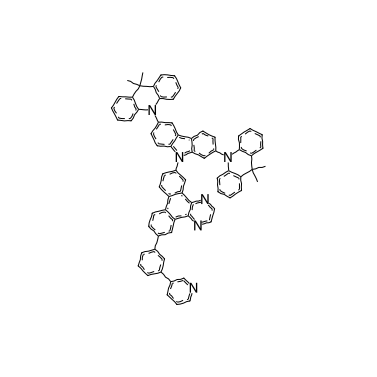 CC1(C)c2ccccc2N(c2ccc3c(c2)c2ccc(N4c5ccccc5C(C)(C)c5ccccc54)cc2n3-c2ccc3c4ccc(-c5cccc(-c6cccnc6)c5)cc4c4nccnc4c3c2)c2ccccc21